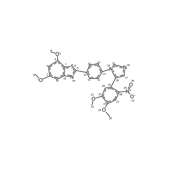 COc1cc(OC)c2sc(-c3ccc(-n4cncc4-c4cc(OC)c(OC)cc4[N+](=O)[O-])cc3)nc2c1